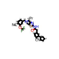 CC(C)[C@H]1c2nc(NC(=O)Cc3ccc(C#N)c(C4CCCC4)c3)sc2CN1Cc1ccc(C#N)c(OC(F)F)c1